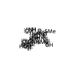 CSCC[C@H](NC(=O)[C@H](Cc1c[nH]c2ccccc12)NC(=O)CNC(=O)[C@H](CCSC)NC(=O)[C@@H](N)Cc1ccc(O)cc1)C(=O)N[C@@H](CC(=O)O)C(=O)NC(=O)C1(c2ccccc2)C(=O)CCC1=O